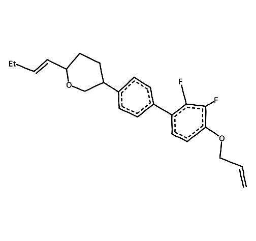 C=CCOc1ccc(-c2ccc(C3CCC(/C=C/CC)OC3)cc2)c(F)c1F